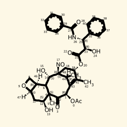 CC(=O)O[C@H]1C(=O)[C@@]2(C)C([C@@H]3CO[C@@H]3C[C@@H]2O)[C@H](O)[C@]2(N=O)C[C@H](OC(=O)[C@H](O)[C@H](NC(=O)c3ccccc3)c3ccccc3)C(C)=C1[C@H]2C